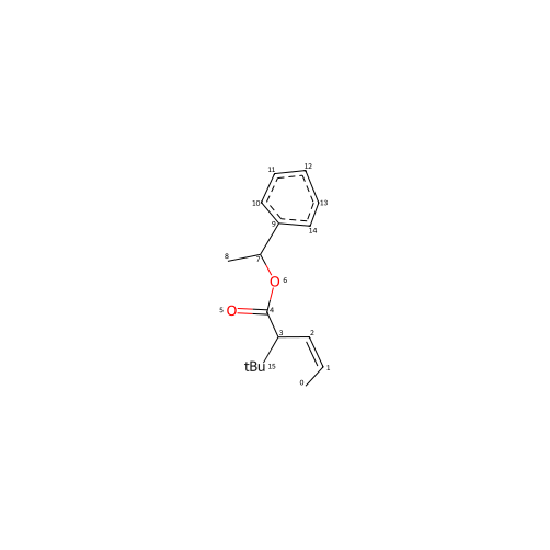 C/C=C\C(C(=O)OC(C)c1ccccc1)C(C)(C)C